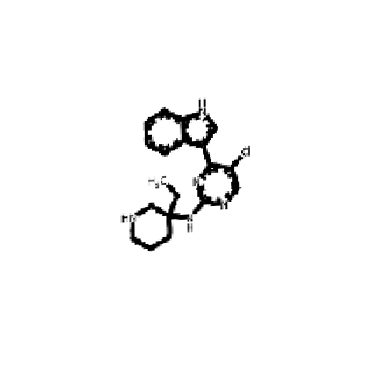 CCC1(Nc2ncc(Cl)c(-c3c[nH]c4ccccc34)n2)CCCNC1